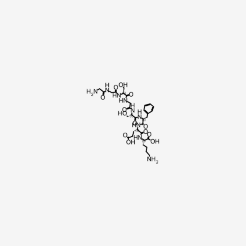 NCCCC[C@H](NC(=O)[C@H](CCC(=O)O)NC(=O)[C@H](Cc1ccccc1)NC(=O)[C@H](CO)NC(=O)CNC(=O)[C@H](CO)NC(=O)CNC(=O)CN)C(=O)O